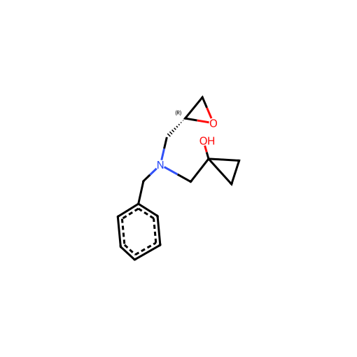 OC1(CN(Cc2ccccc2)C[C@@H]2CO2)CC1